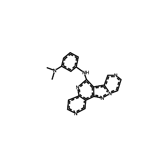 CN(C)c1cccc(Nc2nc3ccncc3c3nn4ccncc4c23)c1